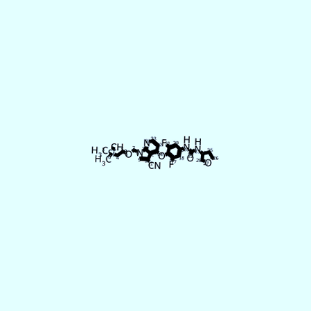 C[Si](C)(C)CCOCn1cc(C#N)c2c(Oc3c(F)cc(NC(=O)NC4CCOC4)cc3F)ccnc21